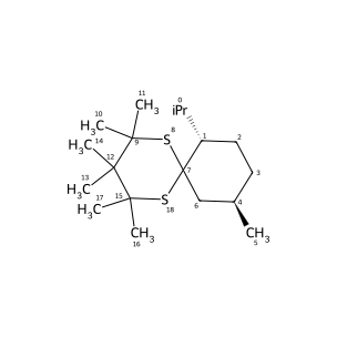 CC(C)[C@@H]1CC[C@@H](C)CC12SC(C)(C)C(C)(C)C(C)(C)S2